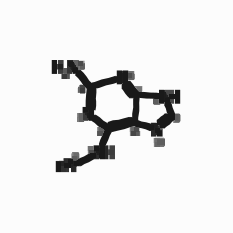 CCCNc1nc(N)nc2[nH]cnc12